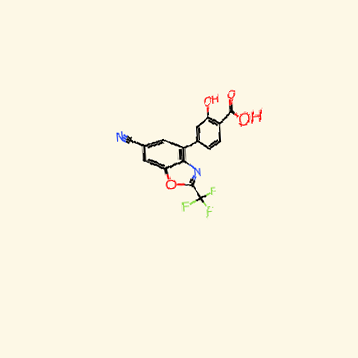 N#Cc1cc(-c2ccc(C(=O)O)c(O)c2)c2nc(C(F)(F)F)oc2c1